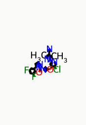 Cc1nn(-c2cc(OC3CN(C(=O)N4N=CCC4c4cc(F)cc(F)c4)C3)c(Cl)cn2)c(C)c1C#N